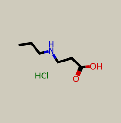 CCCNCCC(=O)O.Cl